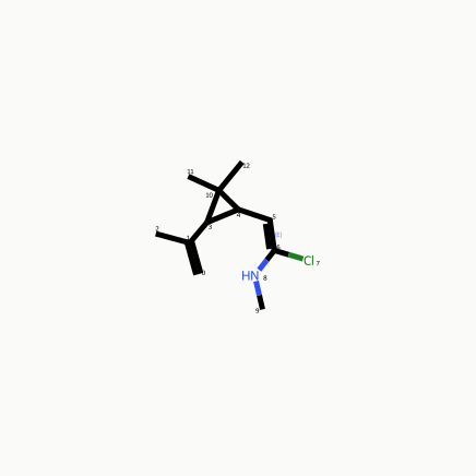 C=C(C)C1C(/C=C(/Cl)NC)C1(C)C